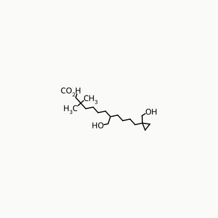 CC(C)(CCCCC(CO)CCCCC1(CO)CC1)CC(=O)O